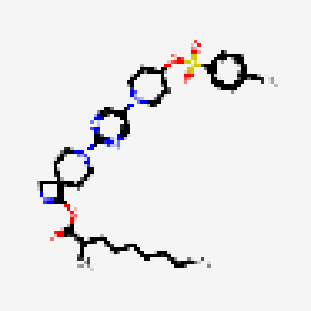 CCCCCCCC(C)C(=O)OC1NCC12CCN(c1ncc(N3CCC(OS(=O)(=O)c4ccc(C)cc4)CC3)cn1)CC2